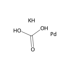 O=C(O)O.[KH].[Pd]